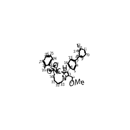 COC[C@@H]1[C@@H](c2ccc(-c3cccc(F)c3)cc2)[C@@H]2CN(S(=O)(=O)c3ccccc3C)CCCCN12